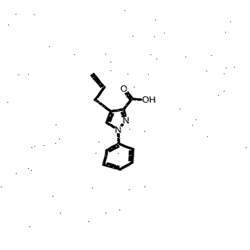 C=CCc1cn(-c2ccccc2)nc1C(=O)O